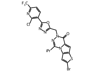 CC(C)c1nn(Cc2nnc(-c3ccc(C(F)(F)F)nc3Cl)o2)c(=O)c2cc3sc(Br)cc3n12